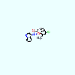 CCC(Oc1ccc(Cl)cc1C)C(=O)Nc1ccnc2ccccc12